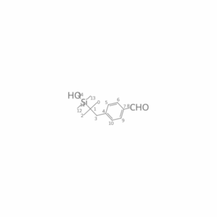 CC(C)(Cc1ccc(C=O)cc1)[Si](C)(C)O